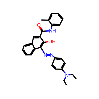 CCN(CC)c1ccc(N=Nc2c(O)c(C(=O)Nc3ccccc3C)cc3ccccc23)cc1